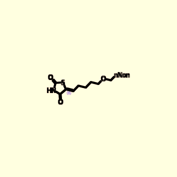 CCCCCCCCCCOCCCC/C=C1\SC(=O)NC1=O